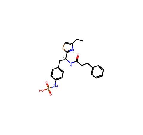 CCc1csc([C@H](Cc2ccc(NS(=O)(=O)O)cc2)NC(=O)CCc2ccccc2)n1